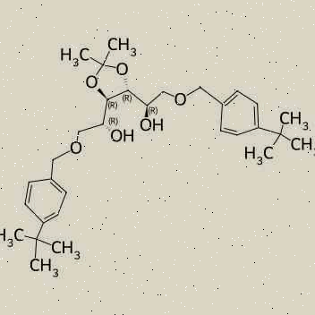 CC1(C)O[C@H]([C@H](O)COCc2ccc(C(C)(C)C)cc2)[C@@H]([C@H](O)COCc2ccc(C(C)(C)C)cc2)O1